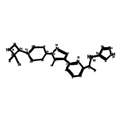 Cc1c(-c2cccc(C(C)Nc3cn[nH]c3)n2)cnn1C1CCN(C2CNC2(C)C)CC1